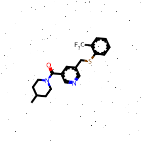 CC1CCN(C(=O)c2cncc(CSc3ccccc3C(F)(F)F)c2)CC1